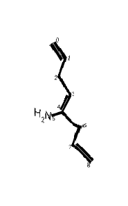 C=CCC=C(N)CC=C